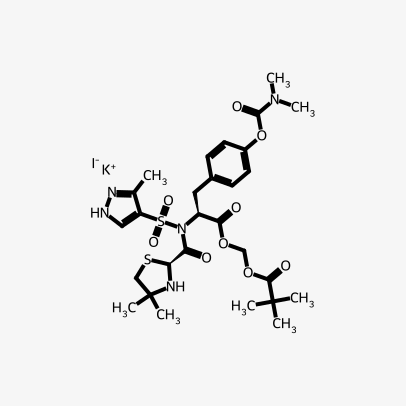 Cc1n[nH]cc1S(=O)(=O)N(C(=O)[C@H]1NC(C)(C)CS1)[C@@H](Cc1ccc(OC(=O)N(C)C)cc1)C(=O)OCOC(=O)C(C)(C)C.[I-].[K+]